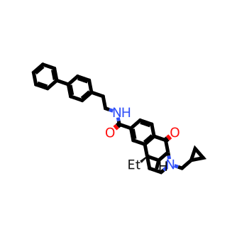 CC[C@@]12CCN(CC3CC3)C(C(=O)c3ccc(C(=O)NCCc4ccc(-c5ccccc5)cc4)cc31)[C@@H]2C